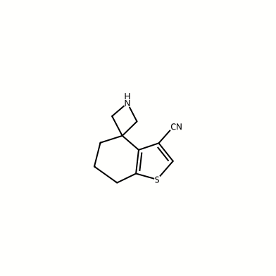 N#Cc1csc2c1C1(CCC2)CNC1